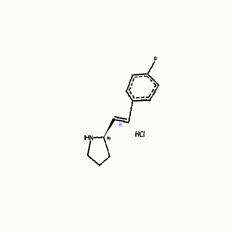 Cl.Fc1ccc(/C=C/[C@H]2CCCN2)cc1